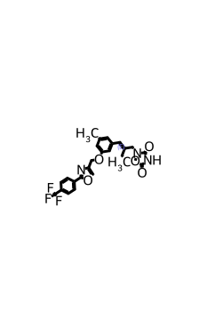 CC/C(=C\c1cc(C)cc(OCc2coc(-c3ccc(C(F)(F)F)cc3)n2)c1)Cn1oc(=O)[nH]c1=O